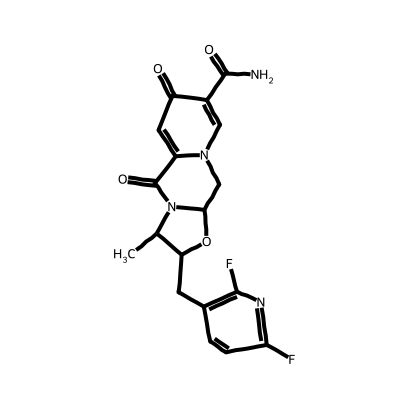 CC1C(Cc2ccc(F)nc2F)OC2Cn3cc(C(N)=O)c(=O)cc3C(=O)N21